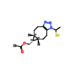 CCC(=O)OC[C@@H]1[C@@H]2CCc3nnn(C(C)S)c3CC[C@@H]21